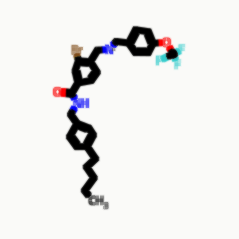 CCCCCc1ccc(CNC(=O)c2ccc(C[N]Cc3ccc(OC(F)(F)F)cc3)c(Br)c2)cc1